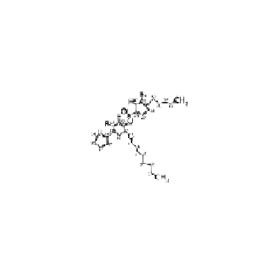 CCCCCCCCOc1cc(-c2ccccc2)c(F)c(F)c1OC(=O)c1ccc(CCCCC)c(F)c1F